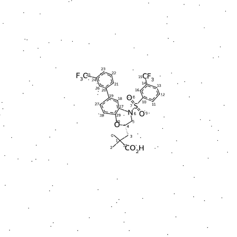 CC(C)(C[C@H]1CN(S(=O)(=O)c2cccc(C(F)(F)F)c2)c2cc(-c3cccc(C(F)(F)F)c3)ccc2O1)C(=O)O